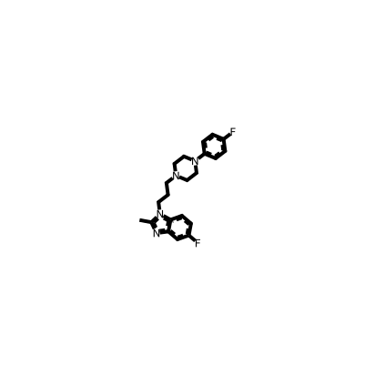 Cc1nc2cc(F)ccc2n1CCCN1CCN(c2ccc(F)cc2)CC1